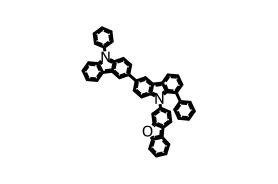 c1ccc(-c2cccc3c4cc(-c5ccc6c(c5)c5ccccc5n6-c5ccccc5)ccc4n(-c4ccc5c(c4)oc4ccccc45)c23)cc1